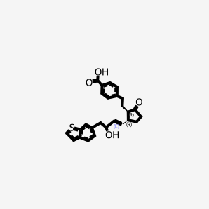 O=C(O)c1ccc(CC[C@H]2C(=O)CC[C@@H]2/C=C/C(O)Cc2ccc3ccsc3c2)cc1